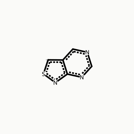 [c]1snc2ncncc12